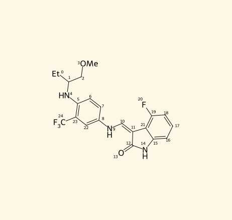 CCC(COC)Nc1ccc(NC=C2C(=O)Nc3cccc(F)c32)cc1C(F)(F)F